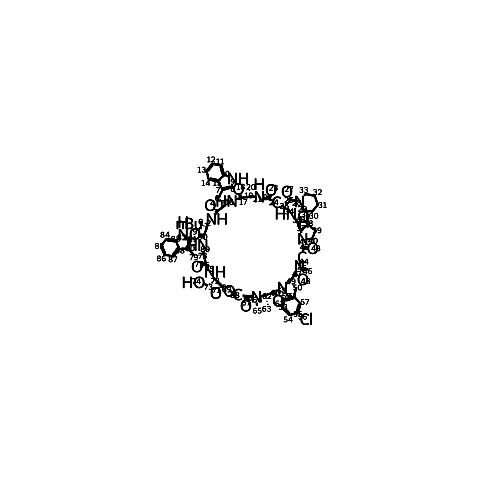 CCCC[C@@H]1NC(=O)[C@H](Cc2c[nH]c3ccccc23)NC(=O)[C@H](C)NC(=O)C[C@@H](C(=O)N2CCCCC2)NC(=O)[C@@H]2CCCN2C(=O)CN(C)C(=O)[C@H](Cc2cccc(Cl)c2)N(C)C(=O)[C@H](C)N(C)C(=O)COC(=O)[C@H](CO)NC(=O)[C@H](Cc2c[nH]c3ccccc23)NC1=O